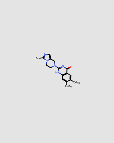 COc1cc2[nH]c(N3CCn4c(cnc4C(C)(C)C)C3)nc(=O)c2cc1OC